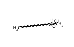 C=C(C)C(=O)NOCCCCCCCCCCCCCCCCCC